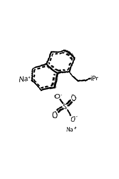 CC(C)Cc1cccc2ccccc12.O=S(=O)([O-])[O-].[Na+].[Na+]